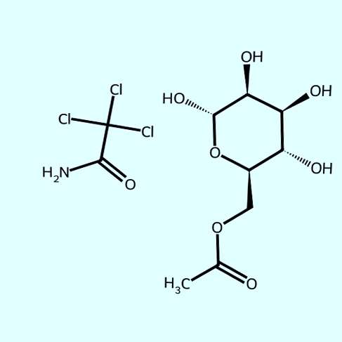 CC(=O)OC[C@H]1O[C@H](O)[C@@H](O)[C@@H](O)[C@@H]1O.NC(=O)C(Cl)(Cl)Cl